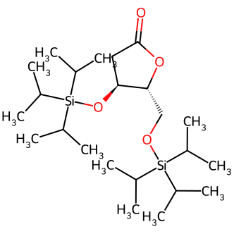 CC(C)[Si](OC[C@H]1OC(=O)C[C@@H]1O[Si](C(C)C)(C(C)C)C(C)C)(C(C)C)C(C)C